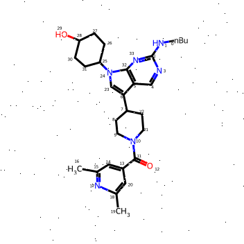 CCCCNc1ncc2c(C3CCN(C(=O)c4cc(C)nc(C)c4)CC3)cn(C3CCC(O)CC3)c2n1